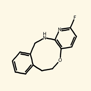 Fc1ccc2c(n1)NCc1ccccc1CCO2